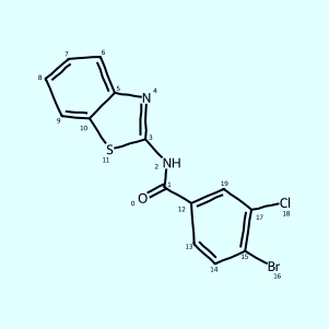 O=C(Nc1nc2ccccc2s1)c1ccc(Br)c(Cl)c1